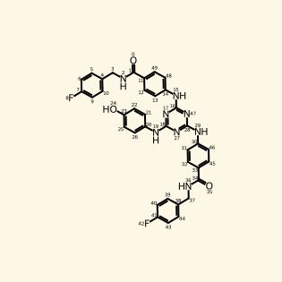 O=C(NCc1ccc(F)cc1)c1ccc(Nc2nc(Nc3ccc(O)cc3)nc(Nc3ccc(C(=O)NCc4ccc(F)cc4)cc3)n2)cc1